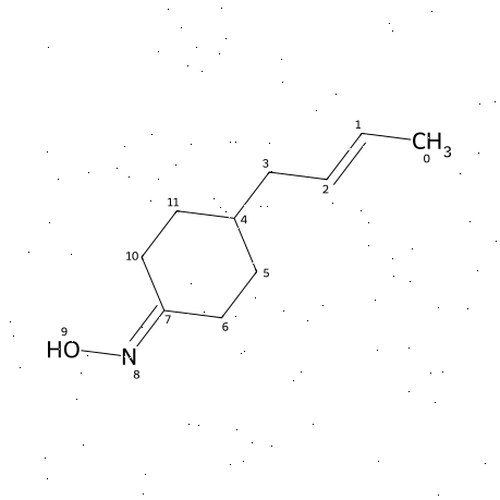 CC=CCC1CCC(=NO)CC1